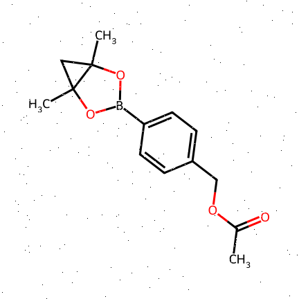 CC(=O)OCc1ccc(B2OC3(C)CC3(C)O2)cc1